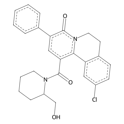 O=C(c1cc(-c2ccccc2)c(=O)n2c1-c1cc(Cl)ccc1CC2)N1CCCCC1CO